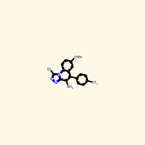 CCc1nnc2c(N)c(-c3ccc(C(F)(F)F)cc3)c3cc(OC)ccc3n12